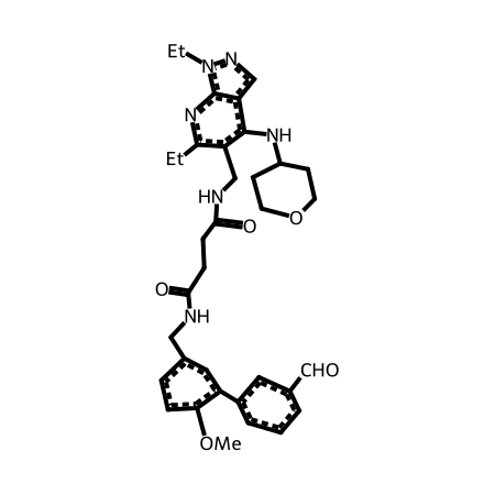 CCc1nc2c(cnn2CC)c(NC2CCOCC2)c1CNC(=O)CCC(=O)NCc1ccc(OC)c(-c2cccc(C=O)c2)c1